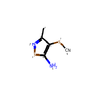 Cc1nsc(N)c1SC#N